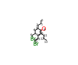 CCCC(CCCBr)C(=O)C(CCC)CCCBr